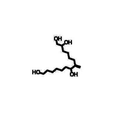 C=C(CCCCC(O)CO)C(O)CCCCCCO